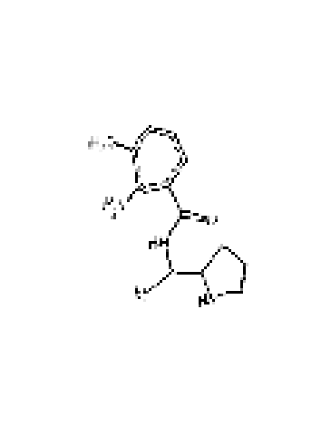 CCC(NC(=O)c1cccc(C)c1N)C1CCCN1